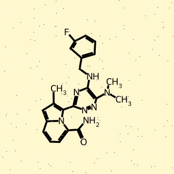 Cc1cc2cccc(C(N)=O)n2c1-c1nnc(N(C)C)c(NCc2cccc(F)c2)n1